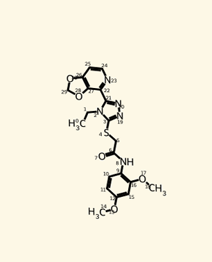 CCn1c(SCC(=O)Nc2ccc(OC)cc2OC)nnc1-c1nccc2c1OCO2